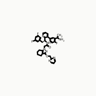 C=C(N)c1cc(-c2cccnc2[C@H](Cc2cc(F)cc(F)c2)NC(=O)Cn2nc(OCc3ncccn3)c3c2CCCC3)ccc1F